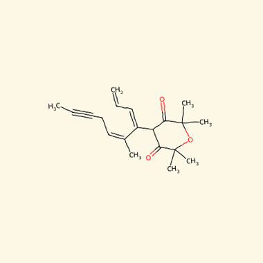 C=C/C=C(\C(C)=C/CC#CC)C1C(=O)C(C)(C)OC(C)(C)C1=O